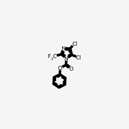 O=C(Oc1ccccc1)n1c(C(F)(F)F)nc(Cl)c1Cl